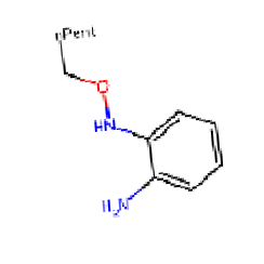 CCCCCCONc1ccccc1N